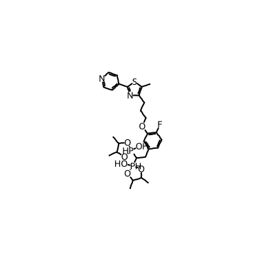 Cc1sc(-c2ccncc2)nc1CCCOc1cc(CC([PH]2(O)OC(C)C(C)O2)[PH]2(O)OC(C)C(C)O2)ccc1F